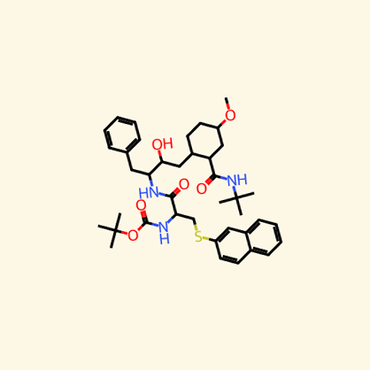 COC1CCC(CC(O)C(Cc2ccccc2)NC(=O)C(CSc2ccc3ccccc3c2)NC(=O)OC(C)(C)C)C(C(=O)NC(C)(C)C)C1